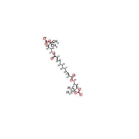 CC1(C)OC(=O)O/C1=C/CCOC(=O)C=CCCCCCC/C=C/C(=O)OCC/C=C1/OC(=O)OC1(C)C